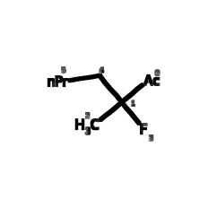 [CH2]C(=O)C(C)(F)CCCC